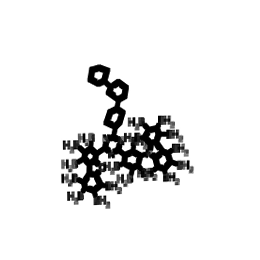 Bc1c(B)c(-c2nc(-c3ccc(-c4cccc(-c5ccccc5)c4)cc3)nc(-c3c(B)c(B)c(B)c4c3oc3c(B)c(B)c(B)c(B)c34)n2)c(B)c(-n2c3c(B)c(B)c(B)c(B)c3c3c(B)c(B)c(B)c(B)c32)c1B